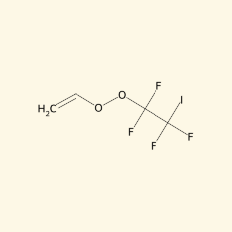 C=COOC(F)(F)C(F)(F)I